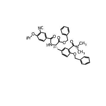 [C-]#[N+]c1cc(C(=O)N[C@@H](Cc2ccc(OCc3ccccc3)c(C(=O)N(C)C)c2)C(=O)OCc2ccccc2)ccc1OC(C)C